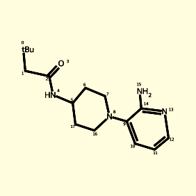 CC(C)(C)CC(=O)NC1CCN(c2cccnc2N)CC1